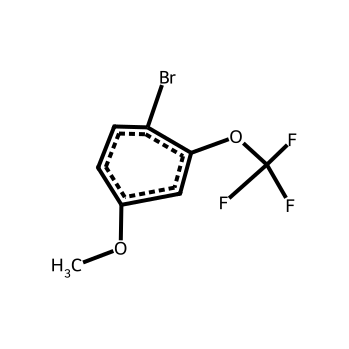 COc1ccc(Br)c(OC(F)(F)F)c1